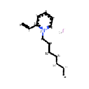 C=Cc1cccc[n+]1CCCCCCC.[I-]